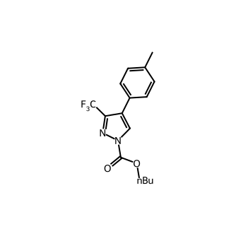 CCCCOC(=O)n1cc(-c2ccc(C)cc2)c(C(F)(F)F)n1